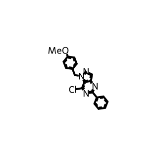 COc1ccc(Cn2ncc3nc(-c4ccccc4)nc(Cl)c32)cc1